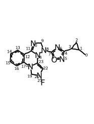 CC1CC1c1noc(N2CN=C3c4ccccc4N4CN(F)C=C4N32)n1